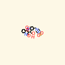 COc1nc2ccccc2cc1C(CO)c1cc(CN2CCN(S(C)(=O)=O)CC2)ccc1[N+](=O)[O-]